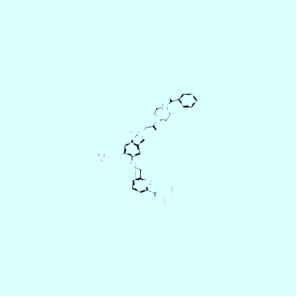 COc1cc2nn(CC(=O)N3CCN(C(=O)c4ccccc4)CC3)cc2cc1NC(=O)c1cccc(C(C)O)n1